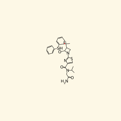 CC(C)N(CC(N)=O)C(=O)c1csc(N2CC(C(C)(C)C)C2O[SiH](c2ccccc2)c2ccccc2)n1